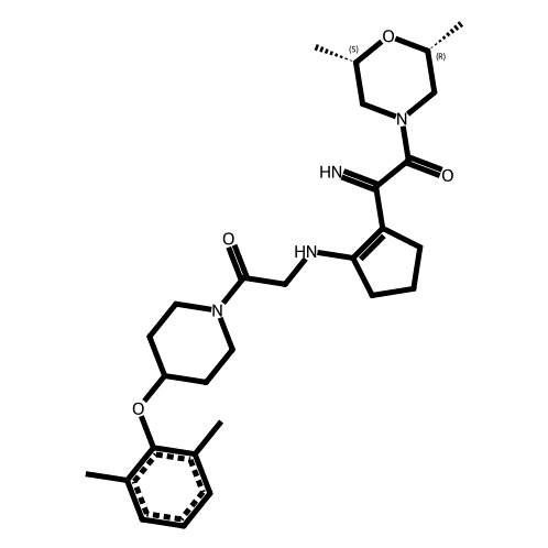 Cc1cccc(C)c1OC1CCN(C(=O)CNC2=C(C(=N)C(=O)N3C[C@@H](C)O[C@@H](C)C3)CCC2)CC1